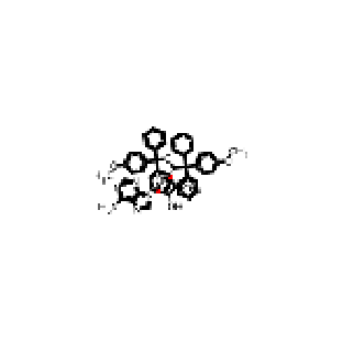 COc1ccc(C(OC([C@H]2O[C@@H](n3cnc4c(N)ncnc43)[C@H](O)[C@@H]2O)C(c2ccccc2)(c2ccccc2)c2ccc(OC)cc2)(c2ccccc2)c2ccccc2)cc1